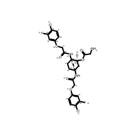 NCC(=O)O[C@H]1CC2(NC(=O)COc3ccc(Cl)c(F)c3)CCC1(NC(=O)COc1ccc(Cl)c(F)c1)CC2